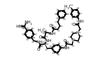 Cc1ccc(NC(=O)CN2CCN(CC(=O)Nc3ccc(C[C@H](NC(=O)[C@@H](C)NC(=O)CCCc4ccccc4)C(=O)NCc4ccc(C(=N)N)cc4)cc3)CC2)cc1